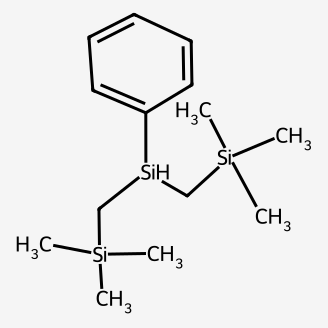 C[Si](C)(C)C[SiH](C[Si](C)(C)C)c1ccccc1